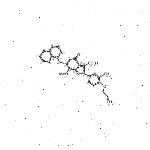 C=CCOc1ccc(-c2sc3c(OC)c(Cc4cccc5ccccc45)cc(=O)n3c2C(=O)O)cc1C